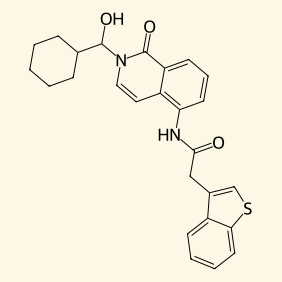 O=C(Cc1csc2ccccc12)Nc1cccc2c(=O)n(C(O)C3CCCCC3)ccc12